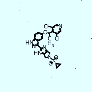 CC(Oc1ccc2[nH]nc(-c3nc4c([nH]3)CN(S(=O)(=O)C3CC3)C4)c2c1)c1c(Cl)cncc1Cl